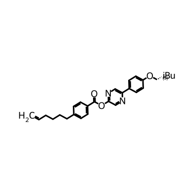 C=CCCCCc1ccc(C(=O)Oc2cnc(-c3ccc(OC[C@@H](C)CC)cc3)cn2)cc1